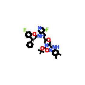 Cc1cc2nc([C@@H]3CO[C@H](CCc4c(F)cncc4NC(=O)C[C@H](c4ccccc4)c4ccc(F)cc4)CN3C(=O)OC(C)(C)C)[nH]c2cc1C